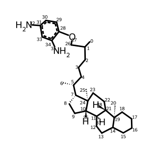 CC(CCC[C@@H](C)[C@H]1CC[C@H]2[C@@H]3CCC4CCCC[C@]4(C)[C@H]3CC[C@]12C)COc1ccc(N)cc1N